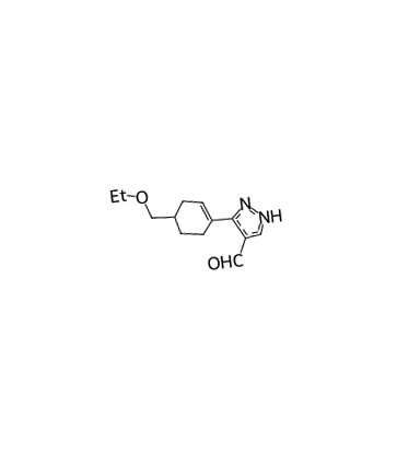 CCOCC1CC=C(c2n[nH]cc2C=O)CC1